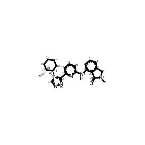 CN1Cc2cccc(Nc3cccc(-c4nncn4[C@@H]4CCCC[C@H]4F)n3)c2C1=O